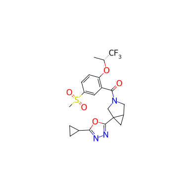 C[C@@H](Oc1ccc(S(C)(=O)=O)cc1C(=O)N1CC2CC2(c2nnc(C3CC3)o2)C1)C(F)(F)F